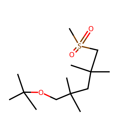 CC(C)(COC(C)(C)C)CC(C)(C)CS(C)(=O)=O